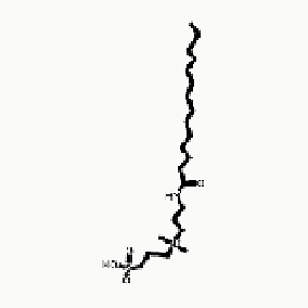 CCCCCCCCCCCCCC(=O)NCCC[N+](C)(C)CCCS(=O)(=O)O